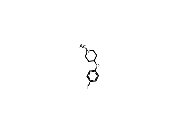 CC(=O)N1CCC(Oc2ccc(I)cc2)CC1